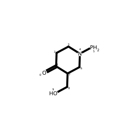 O=C1CCN(P)CC1CO